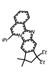 CCC1(CC)CC(C)(C)c2cc3c(cc21)nc1c2ccccc2cc(C(C)C)n31